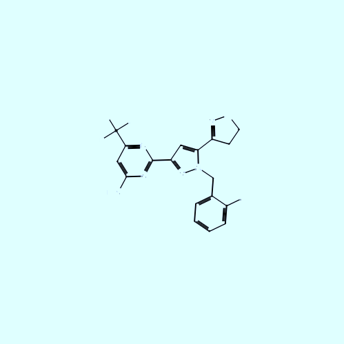 Nc1cc(C(F)(F)F)nc(-c2cc(C3=NOCC3)n(Cc3ccccc3F)n2)n1